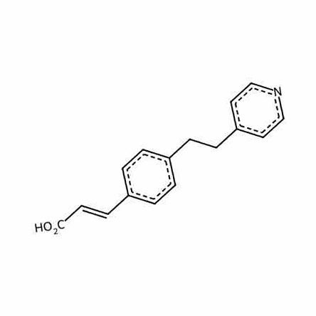 O=C(O)C=Cc1ccc(CCc2ccncc2)cc1